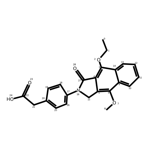 CCOc1c2c(c(OC)c3ccccc13)CN(c1ccc(CC(=O)O)cc1)C2=O